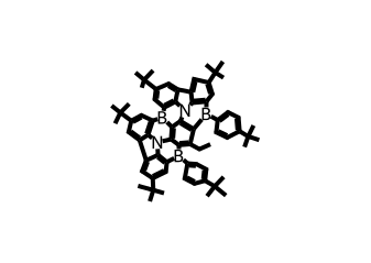 CCc1c2c3c4c5c1B(c1ccc(C(C)(C)C)cc1)c1cc(C(C)(C)C)cc6c7cc(C(C)(C)C)cc(c7n-5c16)B4c1cc(C(C)(C)C)cc4c5cc(C(C)(C)C)cc(c5n-3c14)B2c1ccc(C(C)(C)C)cc1